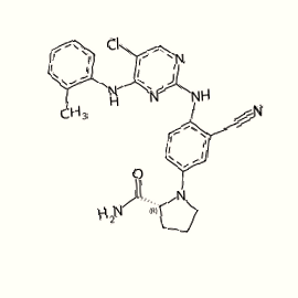 Cc1ccccc1Nc1nc(Nc2ccc(N3CCC[C@@H]3C(N)=O)cc2C#N)ncc1Cl